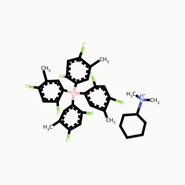 C[NH+](C)C1CCCCC1.Cc1cc([B-](c2cc(C)c(F)cc2F)(c2cc(C)c(F)cc2F)c2cc(C)c(F)cc2F)c(F)cc1F